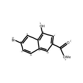 COC(=O)c1cc(O)c2cc(Br)ccc2c1